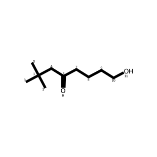 CC(C)(C)CC(=O)CCCCO